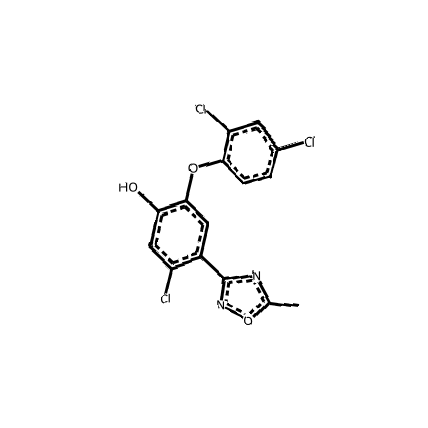 Cc1nc(-c2cc(Oc3ccc(Cl)cc3Cl)c(O)cc2Cl)no1